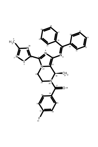 Cc1nsc(-c2nc(N=C(c3ccccc3)c3ccccc3)c3n2CCN(C(=O)c2ccc(F)cc2)[C@@H]3C)n1